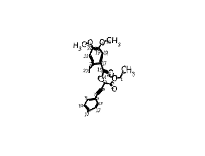 CCOC(=O)C(C#Cc1ccccc1)OC(=O)c1cc(OC)c(OC)cc1I